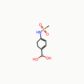 CS(=O)(=O)NC1=CC=C(B(O)O)CC1